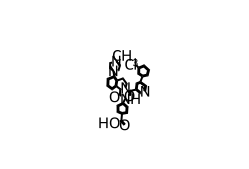 CN1CCN(c2cccc3c2CCN(C(=O)c2cncc(-c4cccc(Cl)c4)c2)C3C(=O)Nc2ccc(C(=O)O)cc2)CC1